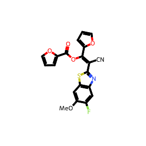 COc1cc2sc(C(C#N)=C(OC(=O)c3ccco3)c3ccco3)nc2cc1F